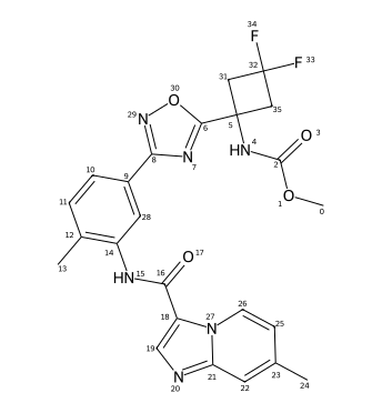 COC(=O)NC1(c2nc(-c3ccc(C)c(NC(=O)c4cnc5cc(C)ccn45)c3)no2)CC(F)(F)C1